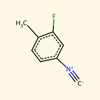 [C-]#[N+]c1ccc(C)c(F)c1